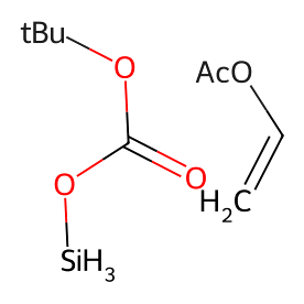 C=COC(C)=O.CC(C)(C)OC(=O)O[SiH3]